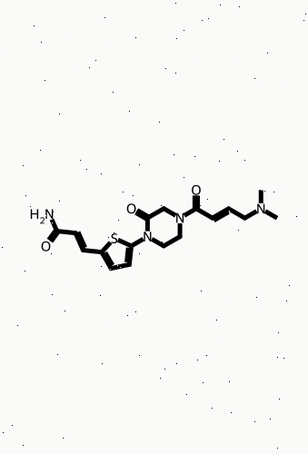 CN(C)CC=CC(=O)N1CCN(c2ccc(C=CC(N)=O)s2)C(=O)C1